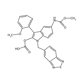 COC(=O)Nc1ccc2c(c1)c(-c1ccccc1OC)c(OC(=O)O)n2Cc1ccc2nsnc2c1